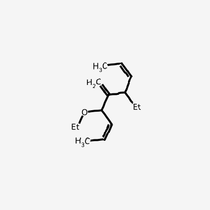 C=C(C(/C=C\C)CC)C(/C=C\C)OCC